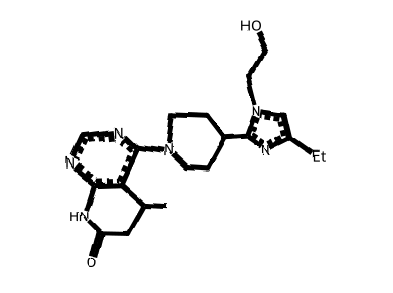 CCc1cn(CCO)c(C2CCN(c3ncnc4c3C(C)CC(=O)N4)CC2)n1